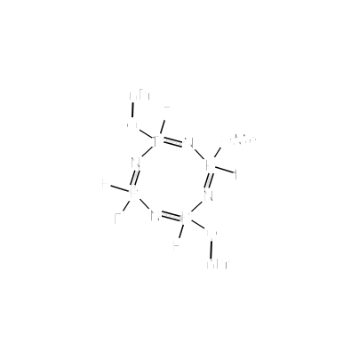 CCCOP1(F)=NP(F)(F)=NP(F)(OCCC)=NP(F)(OC)=N1